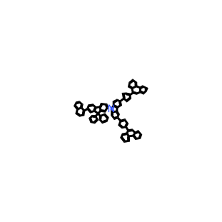 c1ccc(C2(c3ccccc3)c3cc(-c4cccc5ccccc45)ccc3-c3ccc(-n4c5ccc(-c6ccc(-c7cc8ccccc8c8ccccc78)cc6)cc5c5cc(-c6ccc(-c7cc8ccccc8c8ccccc78)cc6)ccc54)cc32)cc1